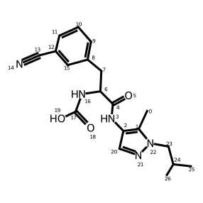 Cc1c(NC(=O)C(Cc2cccc(C#N)c2)NC(=O)O)cnn1CC(C)C